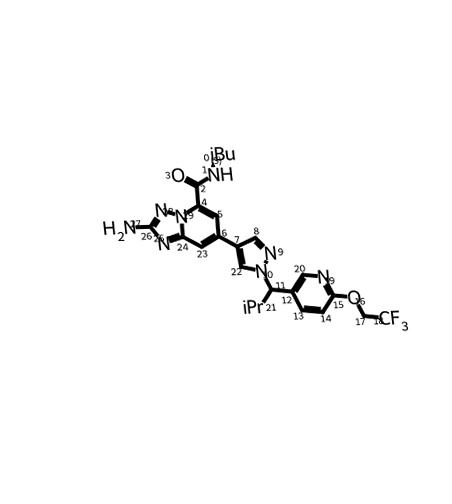 CC[C@H](C)NC(=O)c1cc(-c2cnn(C(c3ccc(OCC(F)(F)F)nc3)C(C)C)c2)cc2nc(N)nn12